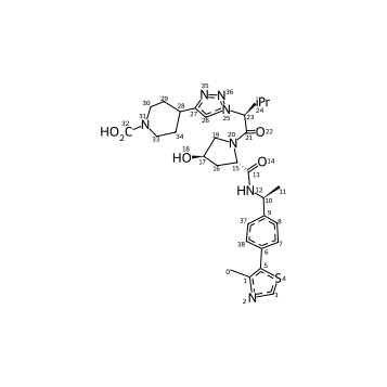 Cc1ncsc1-c1ccc([C@H](C)NC(=O)[C@@H]2C[C@@H](O)CN2C(=O)[C@H](C(C)C)n2cc(C3CCN(C(=O)O)CC3)nn2)cc1